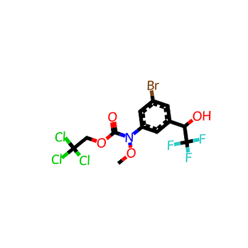 CON(C(=O)OCC(Cl)(Cl)Cl)c1cc(Br)cc(C(O)C(F)(F)F)c1